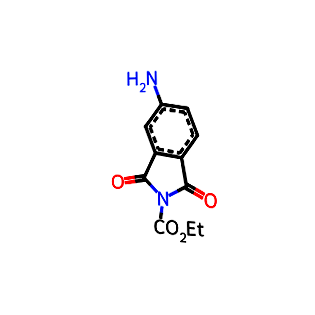 CCOC(=O)N1C(=O)c2ccc(N)cc2C1=O